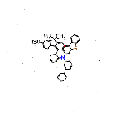 CC(C)(C)c1ccc2c(c1)C(C)(C)c1cccc(-c3ccccc3N(c3cccc(-c4ccccc4)c3)c3ccc4c(c3)sc3ccccc34)c1-2